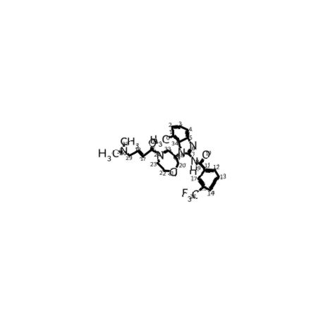 Cc1cccc2nc(NC(=O)c3cccc(C(F)(F)F)c3)n([C@H]3COCCN(C(=O)C=CCN(C)C)C3)c12